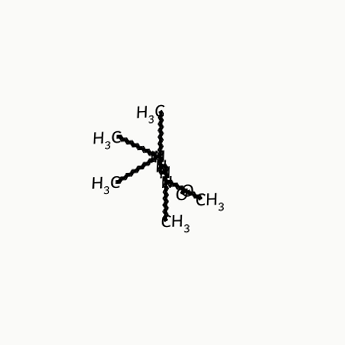 CCCCCCCCCCCCCCN(CCCCCCCCCCCCCC)N(CCCCCCCCCCCCCC)CCN1CCN(CCN(CCCCCCCCCCCC)CCCCCC(=O)OCCCCC)CC1